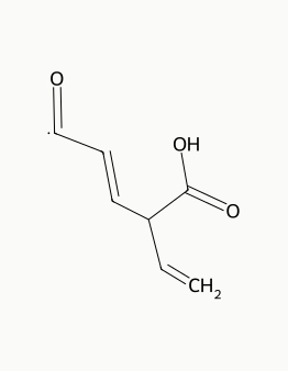 C=CC(C=C[C]=O)C(=O)O